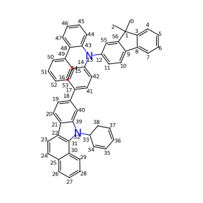 CC1(C)c2ccccc2-c2ccc(N(c3ccc(-c4ccc5c6ccc7ccccc7c6n(C6C=CC=CC6)c5c4)cc3)c3ccccc3-c3ccccc3)cc21